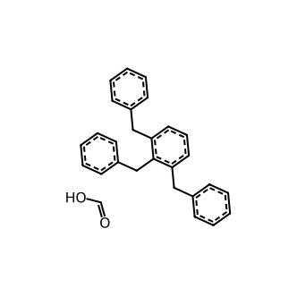 O=CO.c1ccc(Cc2cccc(Cc3ccccc3)c2Cc2ccccc2)cc1